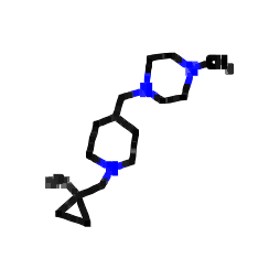 CCCC1(CN2CCC(CN3CCN(C)CC3)CC2)CC1